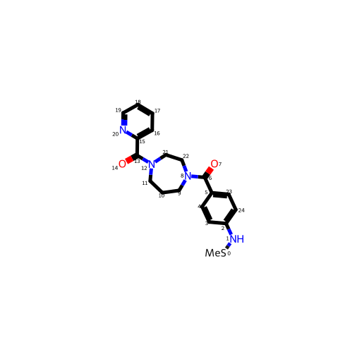 CSNc1ccc(C(=O)N2CCCN(C(=O)c3ccccn3)CC2)cc1